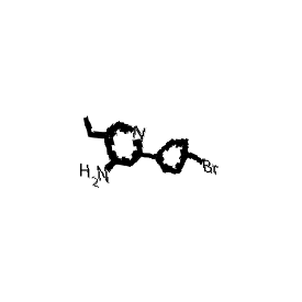 CCc1cnc(-c2ccc(Br)cc2)cc1N